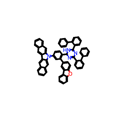 c1ccc(-c2ccccc2C2=NC(c3ccc(-n4c5cc6ccccc6cc5c5cc6ccccc6cc54)cc3-c3ccc4oc5ccccc5c4c3)NC(c3ccccc3-c3ccccc3)=N2)cc1